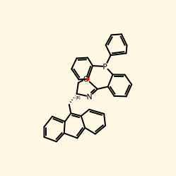 c1ccc(P(c2ccccc2)c2ccccc2C2=N[C@H](Cc3c4ccccc4cc4ccccc34)CO2)cc1